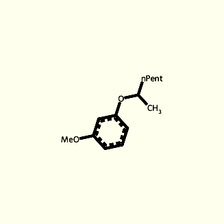 CCCCCC(C)Oc1cccc(OC)c1